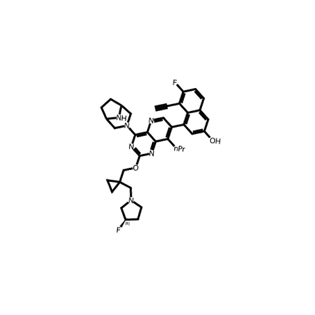 C#Cc1c(F)ccc2cc(O)cc(-c3cnc4c(N5CC6CCC(C5)N6)nc(OCC5(CN6CC[C@@H](F)C6)CC5)nc4c3CCC)c12